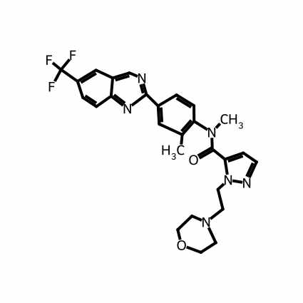 Cc1cc(-c2ncc3cc(C(F)(F)F)ccc3n2)ccc1N(C)C(=O)c1ccnn1CCN1CCOCC1